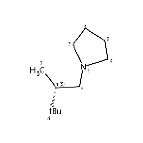 C[C@H](CN1CCCC1)C(C)(C)C